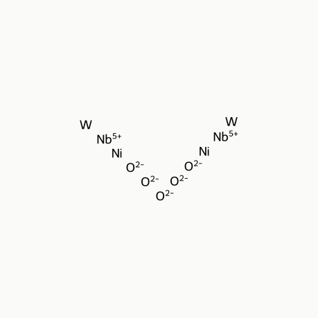 [Nb+5].[Nb+5].[Ni].[Ni].[O-2].[O-2].[O-2].[O-2].[O-2].[W].[W]